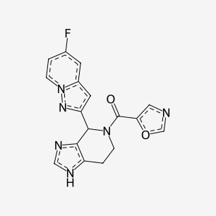 O=C(c1cnco1)N1CCc2[nH]cnc2C1c1cc2cc(F)ccn2n1